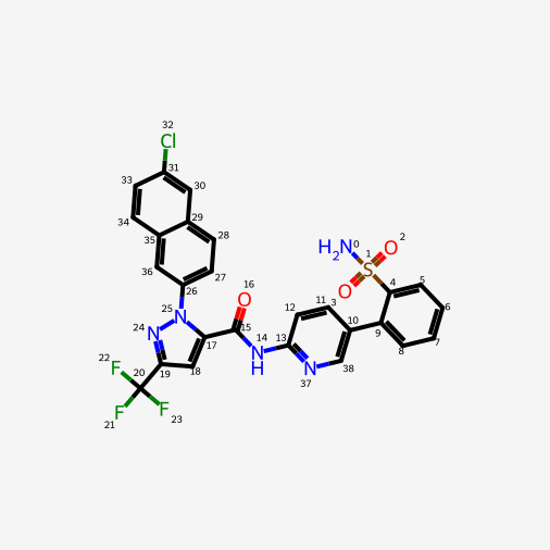 NS(=O)(=O)c1ccccc1-c1ccc(NC(=O)c2cc(C(F)(F)F)nn2-c2ccc3cc(Cl)ccc3c2)nc1